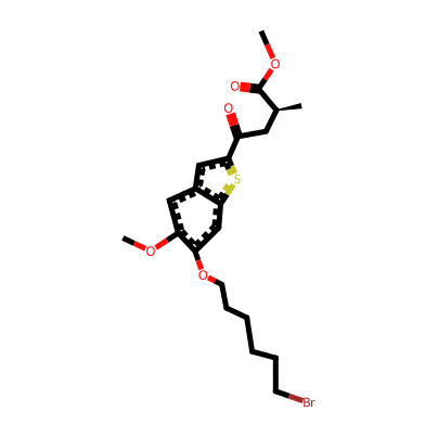 COC(=O)[C@@H](C)CC(=O)c1cc2cc(OC)c(OCCCCCCBr)cc2s1